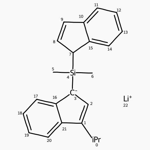 CC(C)c1c[c-]([Si](C)(C)C2C=Cc3ccccc32)c2ccccc12.[Li+]